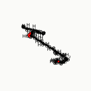 Cc1ccccc1NC(=O)Nc1ccc(CC(=O)N[C@@H](CCCCNC(=O)CCc2cccnc2)C(=O)N[C@@H](CCCC(=O)O)C(=O)NC2(C(=O)NCCOCCOCCNC(=O)CCC(O)NCCOCCOCCNC(=O)CCC(=O)N[C@@H](CCCCNC(=O)[C@H](N)CSC3CC(=O)N(CC4CCC(C(=O)NCCCC(O)(P(=O)(O)O)P(=O)(O)O)CC4)C3=O)C(N)=O)CCCCC2)cc1